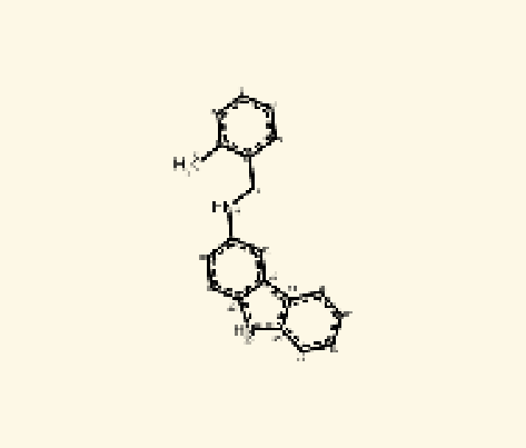 Cc1ccccc1CNc1ccc2[nH]c3ccccc3c2c1